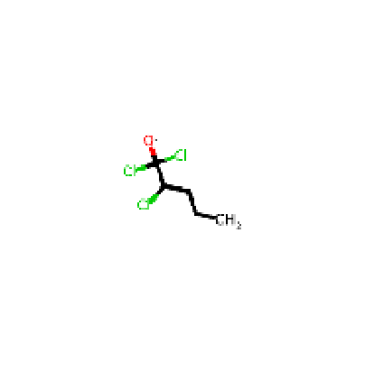 CCCC(Cl)C([O])(Cl)Cl